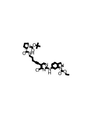 CCOC(=O)n1ncc2ccc(Nc3ncc(C#CCCCNC(=O)[C@@H]4CCCN4C(=O)OC(C)(C)C)c(Cl)n3)cc21